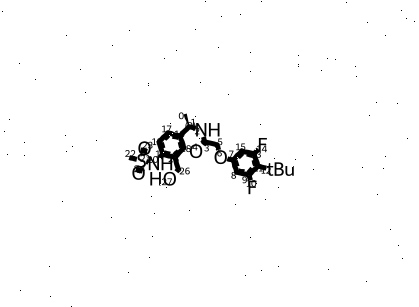 C[C@@H](NC(=O)COc1cc(F)c(C(C)(C)C)c(F)c1)c1ccc(NS(C)(=O)=O)c(CO)c1